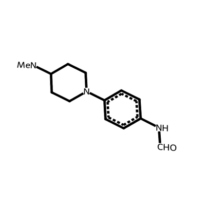 CNC1CCN(c2ccc(NC=O)cc2)CC1